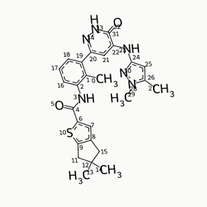 Cc1c(NC(=O)c2cc3c(s2)CC(C)(C)C3)cccc1-c1cc(Nc2cc(C)n(C)n2)c(=O)[nH]n1